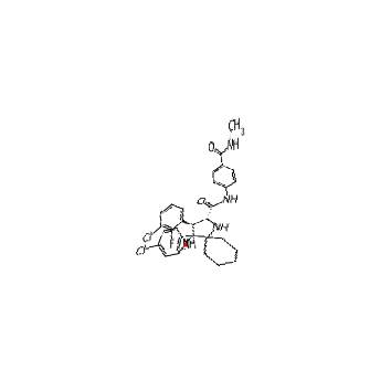 CNC(=O)c1ccc(NC(=O)[C@@H]2NC3(CCCCC3)[C@@]3(CNc4cc(Cl)ccc43)[C@H]2c2cccc(Cl)c2F)cc1